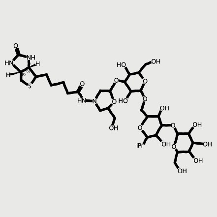 CC(C)C1OC(COC2OC(CO)C(O)C(OC3CN(NC(=O)CCCCC4SC[C@@H]5NC(=O)N[C@H]45)CC(CO)O3)C2O)C(O)C(OC2OC(CO)C(O)C(O)C2O)C1O